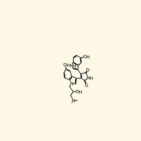 CN(C)CC(O)Cn1cc(C2=C(c3c[nH]c4ccc(O)cc34)C(=O)NC2=O)c2cc(O)ccc21